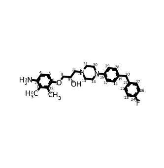 Cc1c(N)ccc(OC[C@@H](O)CN2CCN(c3ccc(Cc4ccc(F)cc4)cc3)CC2)c1C